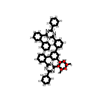 Cc1cc(C)nc(-c2cc(-c3cccc(-c4nc(-c5ccccc5)nc(-c5ccccc5-c5ccccc5)n4)c3)cc(-c3ccccc3-c3nc(-c4ccccc4)nc(-c4ccccc4)n3)c2)n1